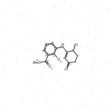 CCC1CCC(=O)C=C1Nc1cccc(C(=O)OC)c1Cl